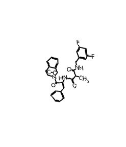 CC(C(=O)NCc1cc(F)cc(F)c1)C(=O)NC(Cc1ccccc1)C(=O)N1CC2CCC1c1ccccc12